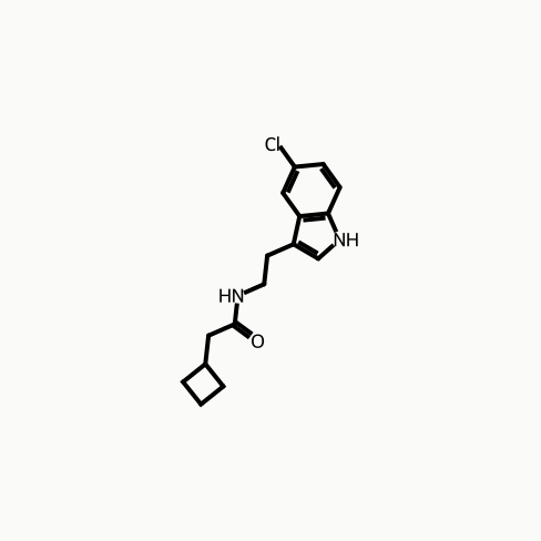 O=C(CC1CCC1)NCCc1c[nH]c2ccc(Cl)cc12